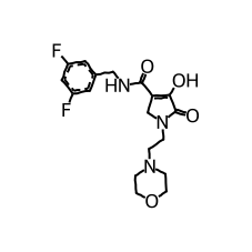 O=C(NCc1cc(F)cc(F)c1)C1=C(O)C(=O)N(CCN2CCOCC2)C1